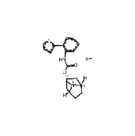 C[N+]1(C)[C@@H]2CC[C@H]1C[C@@H](OC(=O)Nc1ccccc1-c1cccs1)C2.[Br-]